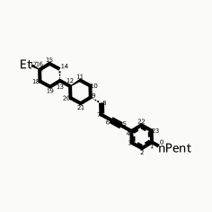 CCCCCc1ccc(C#CC=C[C@H]2CC[C@H]([C@H]3CC[C@H](CC)CC3)CC2)cc1